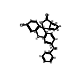 O=C1OC2(c3ccc(Cl)cc3Oc3cc(Nc4ccccc4)ccc32)c2ccccc21